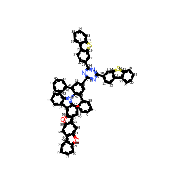 c1ccc(-c2cc(-c3nc(-c4ccc5c(c4)sc4ccccc45)nc(-c4ccc5c(c4)sc4ccccc45)n3)cc(-c3ccccc3)c2-n2c3ccccc3c3c4oc5cc6c(cc5c4ccc32)oc2ccccc26)cc1